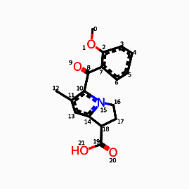 COc1ccccc1C(=O)c1c(C)cc2n1CCC2C(=O)O